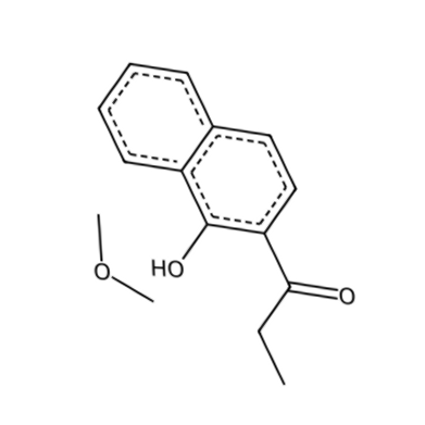 CCC(=O)c1ccc2ccccc2c1O.COC